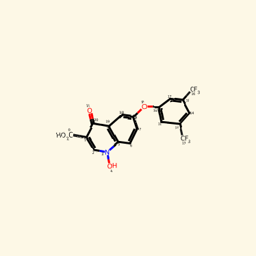 O=C(O)c1cn(O)c2ccc(Oc3cc(C(F)(F)F)cc(C(F)(F)F)c3)cc2c1=O